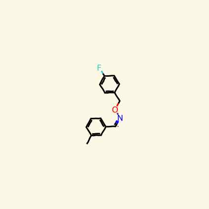 Cc1cccc(/[C]=N\OCc2ccc(F)cc2)c1